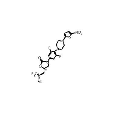 CC(=O)N(C[C@@H]1CN(c2cc(F)c(N3CCN(c4ccc([N+](=O)[O-])s4)CC3)c(F)c2)C(=O)O1)C(F)(F)F